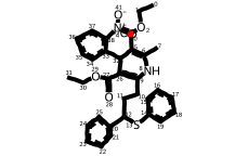 CCOC(=O)C1=C(C)NC(CCC(Sc2ccccc2)c2ccccc2)=C(C(=O)OCC)C1c1ccccc1[N+](=O)[O-]